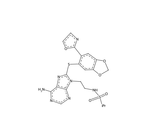 CC(C)S(=O)(=O)NCCn1c(Sc2cc3c(cc2-c2ncco2)OCO3)nc2c(N)ncnc21